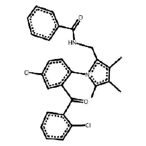 Cc1c(C)c(CNC(=O)c2ccccc2)n(-c2ccc(Cl)cc2C(=O)c2ccccc2Cl)c1C